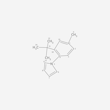 Cc1ccc(-n2cccc2)c(C(C)(C)C)c1